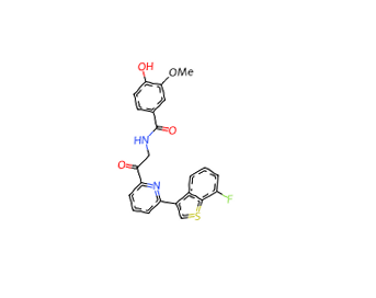 COc1cc(C(=O)NCC(=O)c2cccc(-c3csc4c(F)cccc34)n2)ccc1O